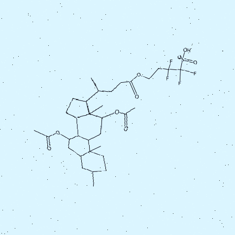 CC(=O)OC1CC2CC(C)CCC2(C)C2CC(OC(C)=O)C3(C)C(C(C)CCC(=O)OCCC(F)(F)C(F)(F)S(=O)(=O)O)CCC3C12